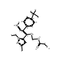 CCn1nc(C)cc1/C(OCOC(=O)CF)=C(\C=N/C)c1ccc(C(C)(C)C)cc1